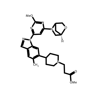 COC(=O)CCN1CCC(c2cc3c(cnn3-c3cc(N4C[C@H]5CC4CO5)nc(OC)n3)cc2C)CC1